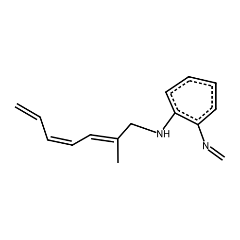 C=C/C=C\C=C(/C)CNc1ccccc1N=C